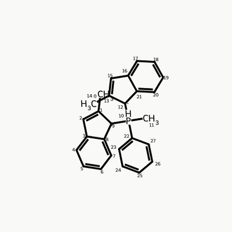 CC1=Cc2ccccc2[C]1[PH](C)([C]1C(C)=Cc2ccccc21)c1ccccc1